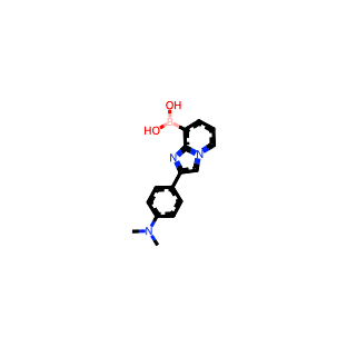 CN(C)c1ccc(-c2cn3cccc(B(O)O)c3n2)cc1